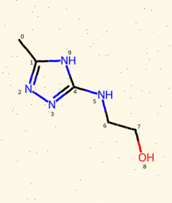 Cc1nnc(NCCO)[nH]1